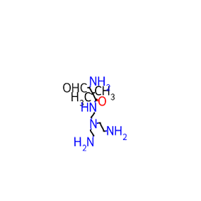 CC(C)(C(=O)NCCN(CCN)CCN)C(N)C=O